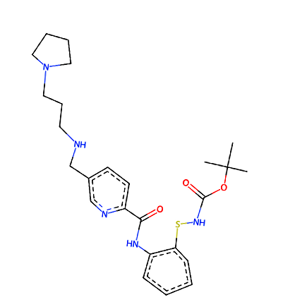 CC(C)(C)OC(=O)NSc1ccccc1NC(=O)c1ccc(CNCCCN2CCCC2)cn1